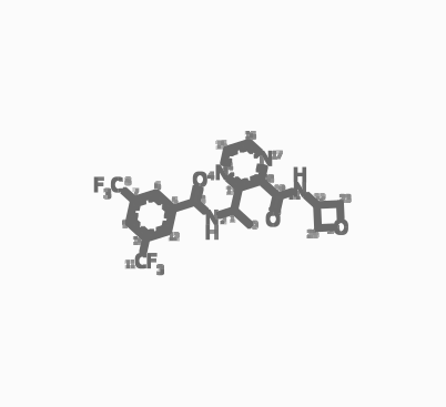 CC(NC(=O)c1cc(C(F)(F)F)cc(C(F)(F)F)c1)c1nccnc1C(=O)NC1COC1